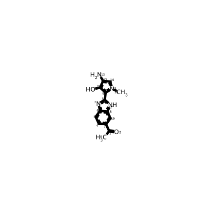 CC(=O)c1ccc2nc(-c3c(O)c(N)cn3C)[nH]c2c1